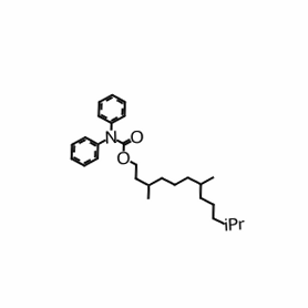 CC(C)CCCC(C)CCCC(C)CCOC(=O)N(c1ccccc1)c1ccccc1